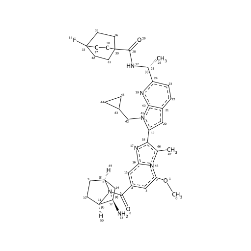 COc1cc(C(=O)N2[C@H]3CC[C@@H]2[C@H](N)C3)cc2nc(-c3cc4ccc([C@@H](C)NC(=O)C56CCC(F)(CC5)CC6)nc4n3CC3CC3)c(C)n12